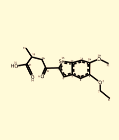 CCOc1cc2cc(C(=O)CC(C)C(=O)O)[se]c2cc1OC